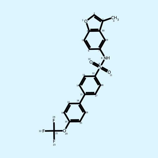 Cc1coc2ccc(NS(=O)(=O)c3ccc(-c4ccc(OC(F)(F)F)cc4)cc3)cc12